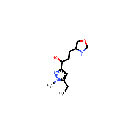 CCc1cc(C(O)CCC2COCN2)nn1C